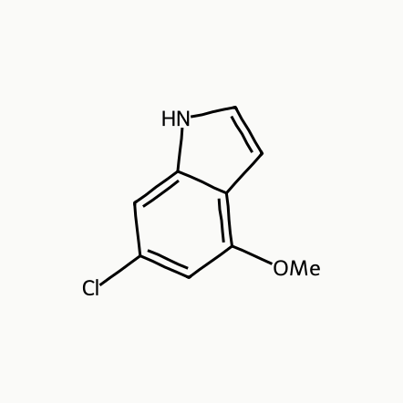 COc1cc(Cl)cc2[nH]ccc12